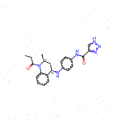 CCC(=O)N1c2ccccc2[C@H](Nc2ccc(NC(=O)c3c[nH]nn3)cc2)C[C@@H]1C